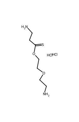 Cl.Cl.NCCOCCOC(=S)CCN